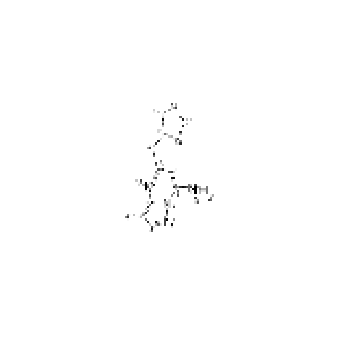 Cc1cnn2c(N)cc(CC3CCCC3)nc12